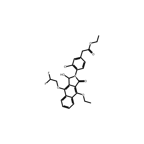 CCOC(=O)Cc1ccc(N2C(=O)c3c(c(OCC(F)F)c4ccccc4c3OCC)C2O)c(Cl)c1